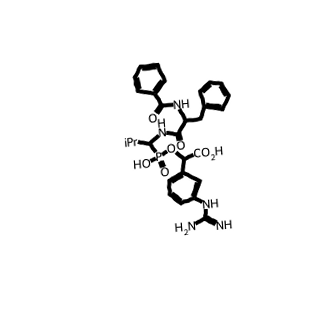 CC(C)C(NC(=O)C(Cc1ccccc1)NC(=O)c1ccccc1)P(=O)(O)OC(C(=O)O)c1cccc(NC(=N)N)c1